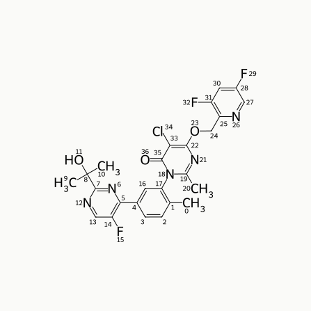 Cc1ccc(-c2nc(C(C)(C)O)ncc2F)cc1-n1c(C)nc(OCc2ncc(F)cc2F)c(Cl)c1=O